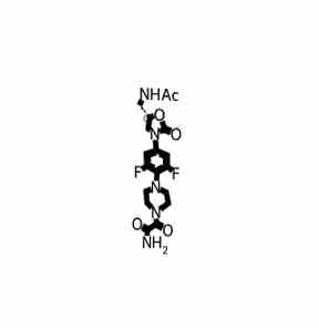 CC(=O)NC[C@H]1CN(c2cc(F)c(N3CCN(C(=O)C(N)=O)CC3)c(F)c2)C(=O)O1